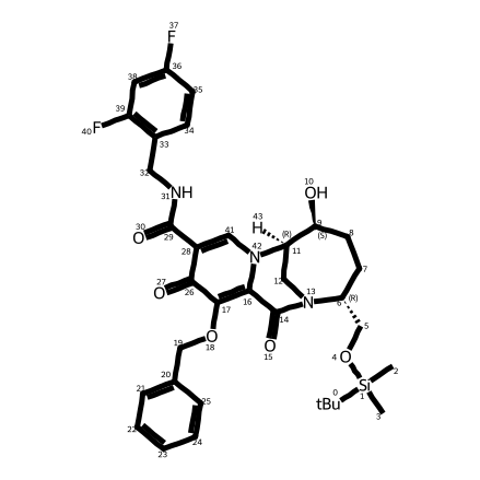 CC(C)(C)[Si](C)(C)OC[C@H]1CC[C@H](O)[C@H]2CN1C(=O)c1c(OCc3ccccc3)c(=O)c(C(=O)NCc3ccc(F)cc3F)cn12